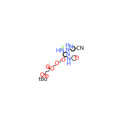 CC(C)(C)OC(=O)CCC(=O)OCCOCCOc1cc(NF)c(Nc2ccc(C#N)cn2)nc1NC1CCOCC1